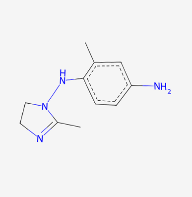 CC1=NCCN1Nc1ccc(N)cc1C